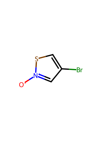 [O-][n+]1cc(Br)cs1